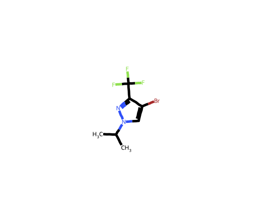 CC(C)n1cc(Br)c(C(F)(F)F)n1